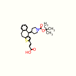 CC(C)(C)OC(=O)N1CCC(=C2c3ccccc3CCc3sc(/C=C/C(=O)O)cc32)CC1